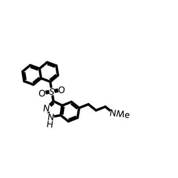 CNCCCc1ccc2[nH]nc(S(=O)(=O)c3cccc4ccccc34)c2c1